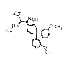 CON=C(c1n[nH]c2c1C=CC(c1cccc(OC)c1)(c1cccc(OC)c1)C2)C1CCC1